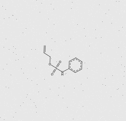 C=CCOS(=O)(=O)Nc1ccccc1